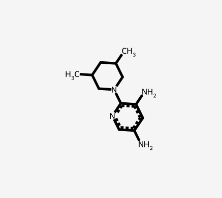 CC1CC(C)CN(c2ncc(N)cc2N)C1